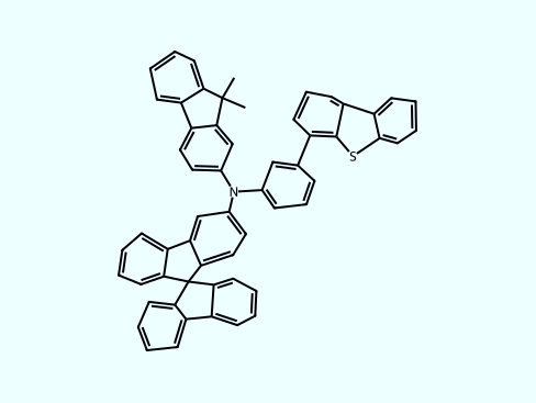 CC1(C)c2ccccc2-c2ccc(N(c3cccc(-c4cccc5c4sc4ccccc45)c3)c3ccc4c(c3)-c3ccccc3C43c4ccccc4-c4ccccc43)cc21